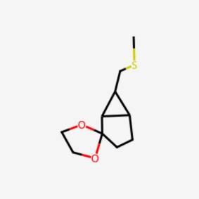 CSCC1C2CCC3(OCCO3)C21